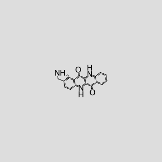 NCc1ccc2[nH]c3c(=O)c4ccccc4[nH]c3c(=O)c2c1